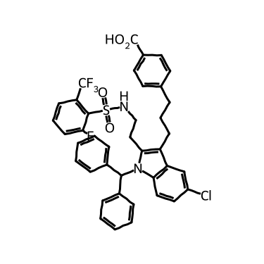 O=C(O)c1ccc(CCCc2c(CCNS(=O)(=O)c3c(F)cccc3C(F)(F)F)n(C(c3ccccc3)c3ccccc3)c3ccc(Cl)cc23)cc1